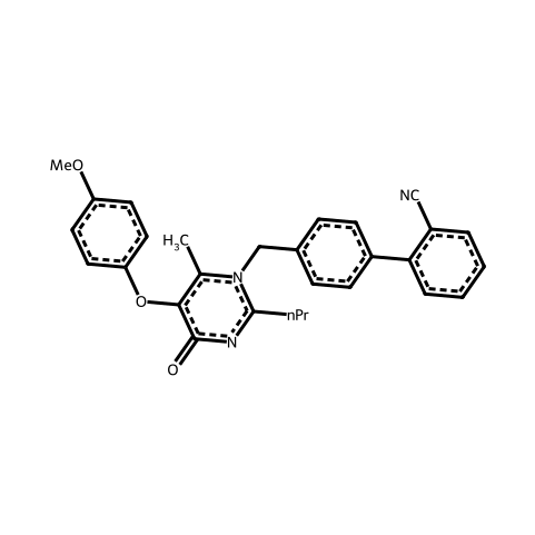 CCCc1nc(=O)c(Oc2ccc(OC)cc2)c(C)n1Cc1ccc(-c2ccccc2C#N)cc1